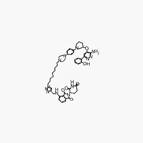 Nc1nnc(-c2ccccc2O)cc1OC1CCCN(c2ccc(N3CCN(CCCCCCCCCn4cc(CNc5cccc6c5C(=O)N(C5CCC(=O)NC5=O)C6=O)nn4)CC3)cc2)C1